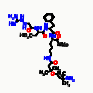 CNC(=O)[C@@H](CCCCNC(=O)CC(C)(C)OCCC(C)(C)N)NC(=O)[C@H](Cc1ccccc1)NC(=O)[C@@H](CC(=O)O)NC(=O)CNNC(=N)N